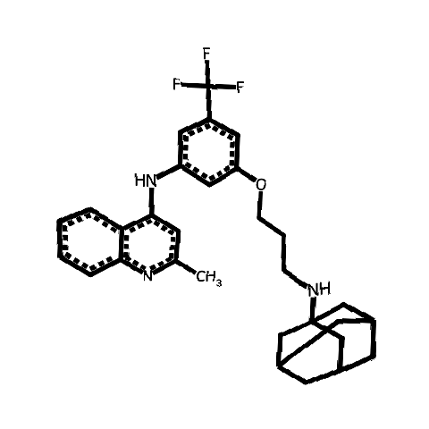 Cc1cc(Nc2cc(OCCCNC34CC5CC(CC(C5)C3)C4)cc(C(F)(F)F)c2)c2ccccc2n1